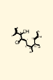 C=C(C)C(O)C(Cl)CCC(C)C(C)C=CC